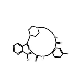 O=C1NCCCN2CCN(CC2)c2nc(c(O)c3ncccc23)C(=O)NCc2ccc(F)cc21